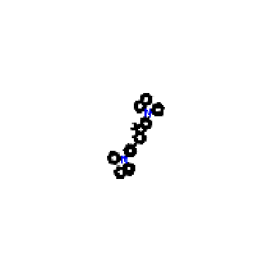 CC1(C)c2cc(-c3ccc(N(c4ccccc4)c4cccc5ccccc45)cc3)ccc2-c2ccc(N(c3ccccc3)c3cccc4ccccc34)cc21